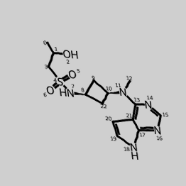 CC(O)CS(=O)(=O)N[C@H]1C[C@@H](N(C)c2ncnc3[nH]ccc23)C1